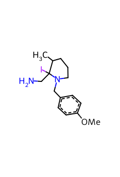 COc1ccc(CN2CCCC(C)C2(I)CN)cc1